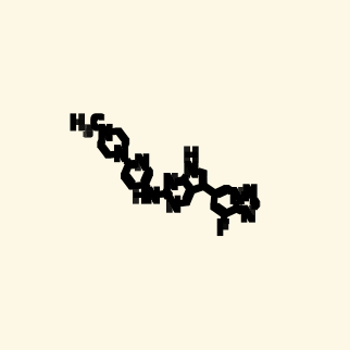 CN1CCN(c2ccc(Nc3ncc4c(-c5cc(F)c6ncnn6c5)c[nH]c4n3)cn2)CC1